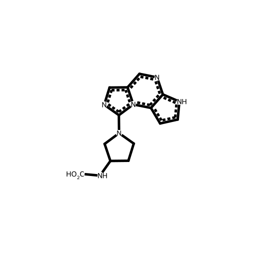 O=C(O)NC1CCN(c2ncc3cnc4[nH]ccc4n23)C1